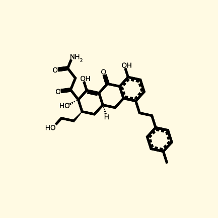 Cc1ccc(CCc2ccc(O)c3c2C[C@H]2C[C@@H](CCO)[C@@](O)(C(=O)CC(N)=O)C(O)=C2C3=O)cc1